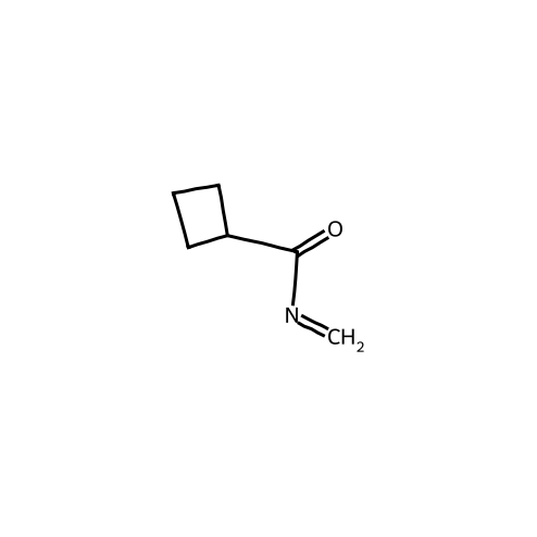 C=NC(=O)C1CCC1